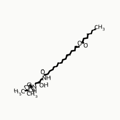 CCCCCCCC(=O)OCCCCCCCCCCCCCCCC(=O)NCC(O)CNC(=O)OC(C)(C)C